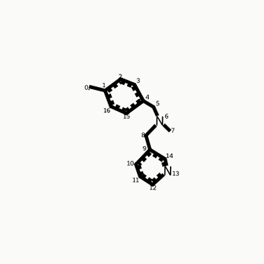 [CH2]c1ccc(CN(C)Cc2cccnc2)cc1